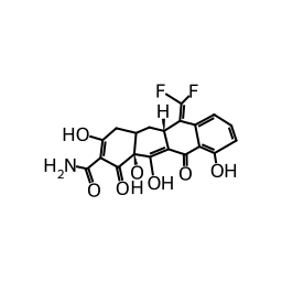 NC(=O)C1=C(O)CC2C[C@H]3C(=C(O)[C@]2(O)C1=O)C(=O)c1c(O)cccc1C3=C(F)F